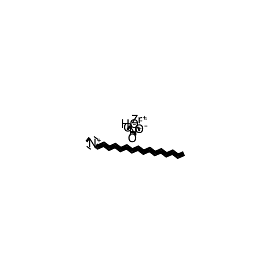 CCCCCCCCCCCCCCCC[N+](C)(C)C.O=[N+]([O-])[O-].[OH-].[Zr+]